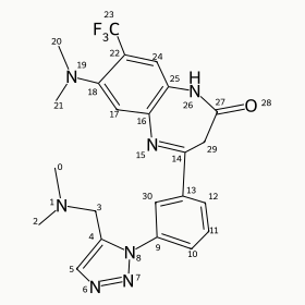 CN(C)Cc1cnnn1-c1cccc(C2=Nc3cc(N(C)C)c(C(F)(F)F)cc3NC(=O)C2)c1